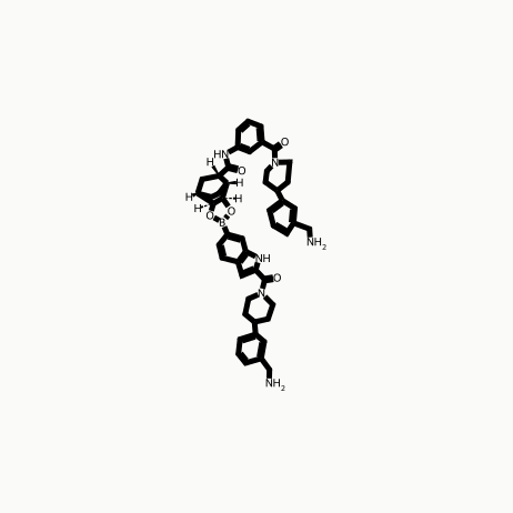 NCc1cccc(C2CCN(C(=O)c3cccc(NC(=O)[C@H]4C[C@@H]5CC[C@H]4[C@H]4OB(c6ccc7cc(C(=O)N8CCC(c9cccc(CN)c9)CC8)[nH]c7c6)O[C@@H]54)c3)CC2)c1